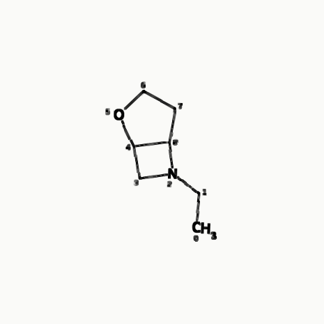 CCN1CC2OCCC21